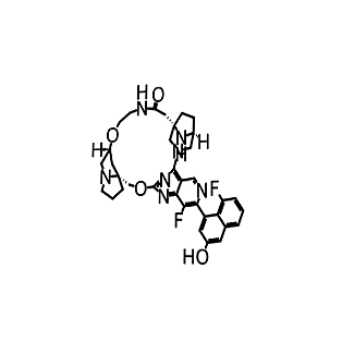 O=C1C[C@@]23CC[C@@H](CN(C2)c2nc(nc4c(F)c(-c5cc(O)cc6cccc(F)c56)ncc24)OC[C@]24CCCN2C[C@@H](C4)OCCN1)N3